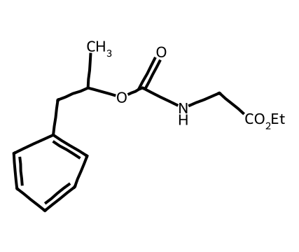 CCOC(=O)CNC(=O)OC(C)Cc1ccccc1